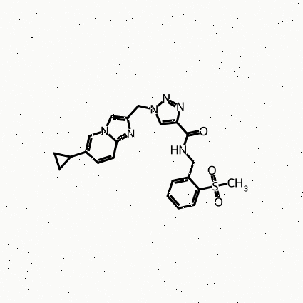 CS(=O)(=O)c1ccccc1CNC(=O)c1cn(Cc2cn3cc(C4CC4)ccc3n2)nn1